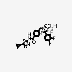 O=C(Nc1nnc(C2CC2)s1)c1ccc(CN(C(=O)O)C(F)(F)c2ccc(F)c(F)c2F)cc1